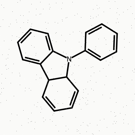 C1=CC2c3ccccc3N(c3ccccc3)C2C=C1